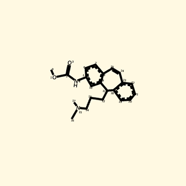 COC(=O)Nc1ccc2c(c1)C(CCCN(C)C)c1ccccc1C=C2